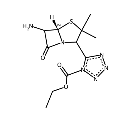 CCOC(=O)n1nnnc1C1N2C(=O)C(N)[C@@H]2SC1(C)C